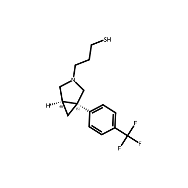 FC(F)(F)c1ccc([C@]23C[C@H]2CN(CCCS)C3)cc1